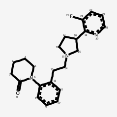 O=C1CCCCN1c1ccccc1CCN1CCC(c2ncccc2F)C1